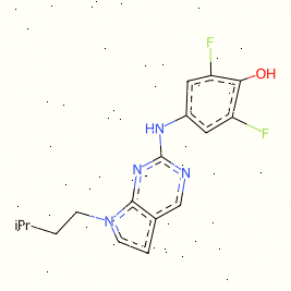 CC(C)CCn1ccc2cnc(Nc3cc(F)c(O)c(F)c3)nc21